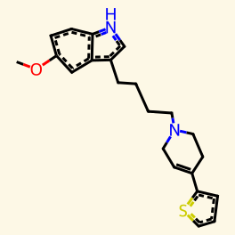 COc1ccc2[nH]cc(CCCCN3CC=C(c4cccs4)CC3)c2c1